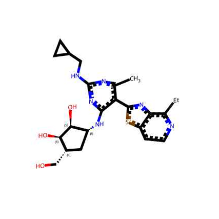 CCc1nccc2sc(-c3c(C)nc(NCC4CC4)nc3N[C@@H]3C[C@H](CO)[C@@H](O)[C@H]3O)nc12